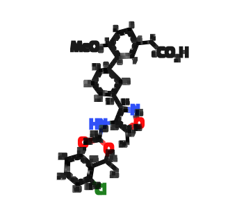 COc1ccc(CC(=O)O)cc1-c1cccc(-c2noc(C)c2NC(=O)OC(C)c2ccccc2Cl)c1